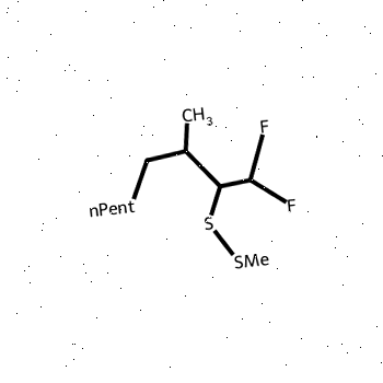 CCCCCCC(C)C(SSC)C(F)F